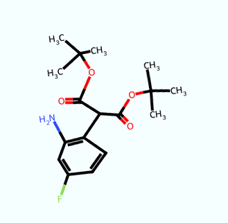 CC(C)(C)OC(=O)C(C(=O)OC(C)(C)C)c1ccc(F)cc1N